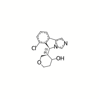 OC1CCOC[C@H]1[C@H]1c2c(Cl)cccc2-c2cncn21